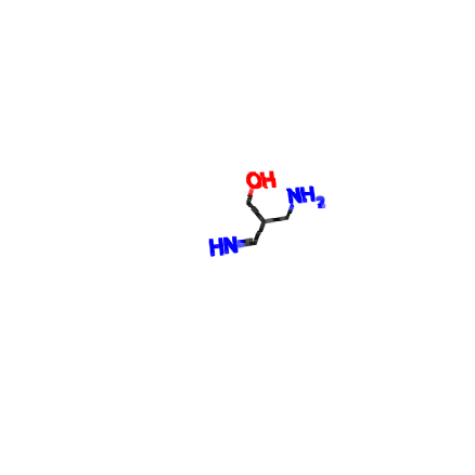 N=CC(CN)CO